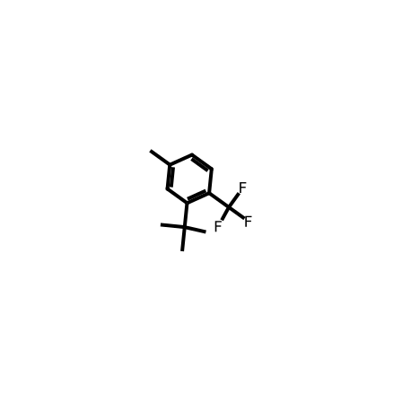 Cc1ccc(C(F)(F)F)c(C(C)(C)C)c1